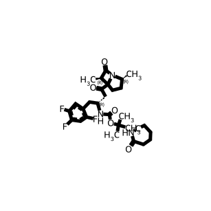 C[C@@H]1CCC2(C(=O)C[C@@H](Cc3cc(F)c(F)cc3F)NC(=O)OC(C)(C)C)[C@@H](C)C(=O)N12.O=C1CCCCCN1